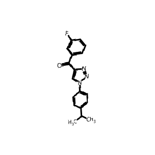 CC(C)c1ccc(-n2cc(C(=O)c3cccc(F)c3)nn2)cc1